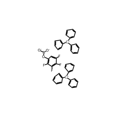 [O-]B([O-])Oc1cc(F)c(F)c(F)c1F.c1ccc([C+](c2ccccc2)c2ccccc2)cc1.c1ccc([C+](c2ccccc2)c2ccccc2)cc1